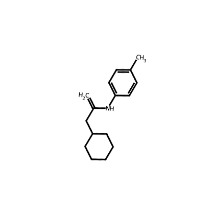 C=C(CC1CCCCC1)Nc1ccc(C)cc1